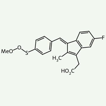 COOSc1ccc(/C=C2\C(C)=C(CC(=O)O)c3cc(F)ccc32)cc1